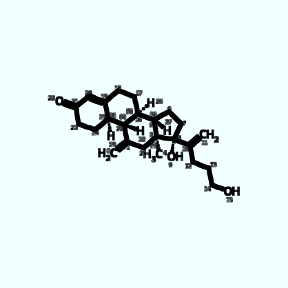 C=C1C[C@@]2(C)[C@@H](CC[C@@]2(O)C(=C)CCCO)[C@@H]2CCC3=CC(=O)CC[C@@H]3[C@@H]12